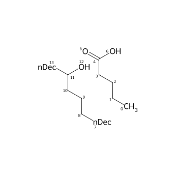 CCCCC(=O)O.CCCCCCCCCCCCCC(O)CCCCCCCCCC